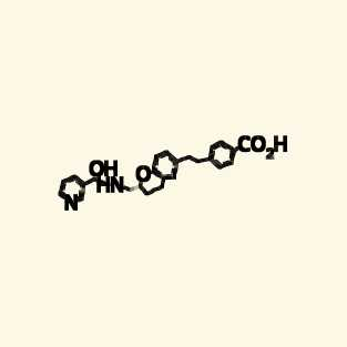 O=C(O)c1ccc(CCc2ccc3c(c2)CC[C@H](CNC[C@@H](O)c2cccnc2)O3)cc1